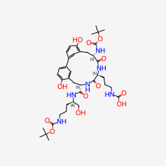 CC(C)(C)OC(=O)NCCC[C@H](CO)NC(=O)[C@@H]1Cc2cc(ccc2O)-c2ccc(O)c(c2)C[C@H](NC(=O)OC(C)(C)C)C(=O)N[C@@H](CCCNC(=O)O)C(=O)N1